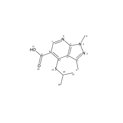 Cc1nn(C)c2ncc(C(=O)O)c(SC(C)C)c12